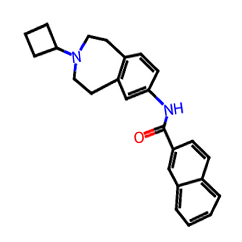 O=C(Nc1ccc2c(c1)CCN(C1CCC1)CC2)c1ccc2ccccc2c1